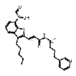 CCCCCc1c(/C=C/C(=O)N[C@H](C)CCCc2cccnc2)sc2c(N(O)C=O)cccc12